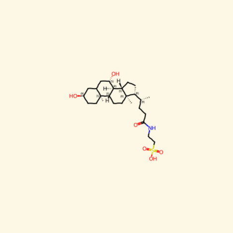 C[C@H](CCC(=O)NCCS(=O)(=O)O)[C@H]1CC[C@H]2[C@@H]3[C@@H](O)CC4C[C@H](O)CC[C@]4(C)[C@H]3CC[C@]12C